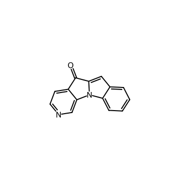 O=C1c2ccncc2-n2c1cc1ccccc12